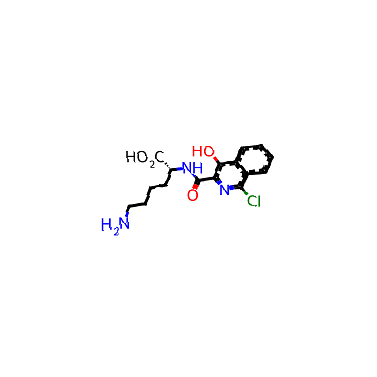 NCCCC[C@@H](NC(=O)c1nc(Cl)c2ccccc2c1O)C(=O)O